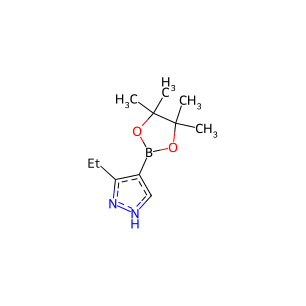 CCc1n[nH]cc1B1OC(C)(C)C(C)(C)O1